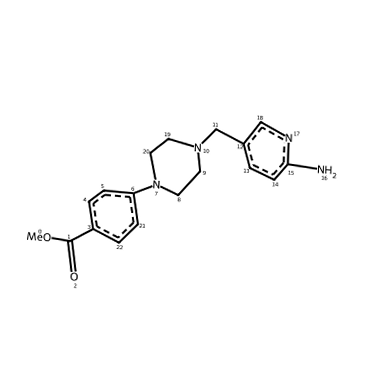 COC(=O)c1ccc(N2CCN(Cc3ccc(N)nc3)CC2)cc1